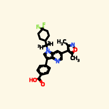 [2H]C([2H])(C1CCC(F)(F)CC1)n1cc(-c2ccc(C(=O)O)cc2)c2ncc(-c3c(C)noc3C)cc21